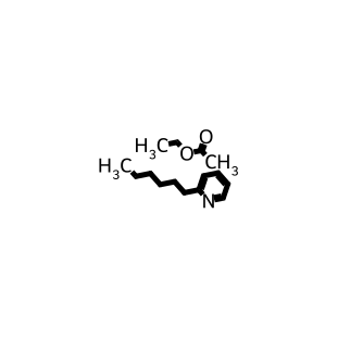 CCCCCCc1ccccn1.CCOC(C)=O